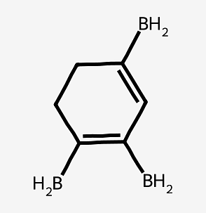 BC1=CC(B)=C(B)CC1